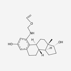 C=COCNc1cc(O)cc2c1[C@H]1CC[C@]3(C)[C@H](O)CC[C@H]3[C@@H]1CC2